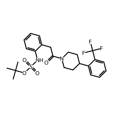 CC(C)(C)OS(=O)(=O)Nc1ccccc1CC(=O)N1CCC(c2ccccc2C(F)(F)F)CC1